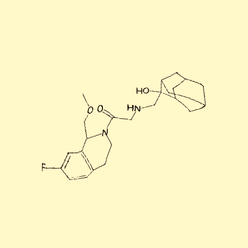 COCC1c2cc(F)ccc2CCN1C(=O)CNCC1(O)C2CC3CC(C2)CC1C3